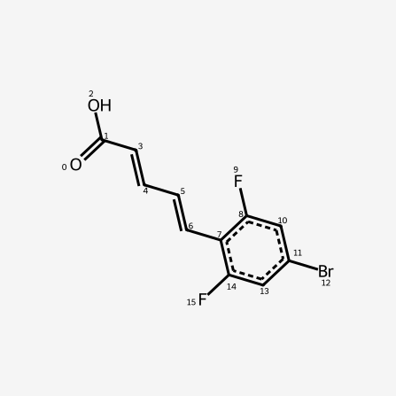 O=C(O)C=CC=Cc1c(F)cc(Br)cc1F